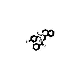 O=C(NCC1c2ccccc2CCN1S(=O)(=O)c1ccc(Br)cc1)C1CCCCC1